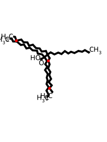 CCCCCCCCCCCCCC(CCCCCCCCCCCC)(CCCCCCCCCCCC)C(CCCCCCCCCCCC)(CCCCCCCCCCCC)C(=O)O